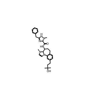 CN1C=CN2c3cc(CCC(C)(C)O)ccc3CCC(NC(=O)C3N=C(Cc4ccccc4)NN3C)C12